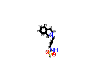 CS(=O)(=O)NCC#CCN1CCc2ccccc2C1